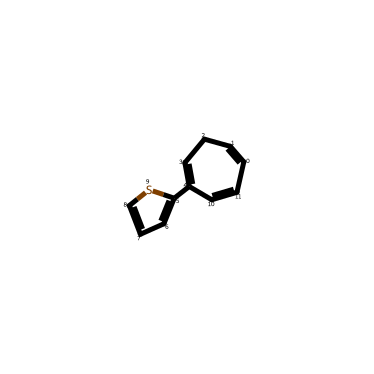 C1=CCC=C(c2cccs2)C=C1